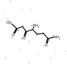 NC(=O)CC[C@H](N)C(=O)CC(=O)O